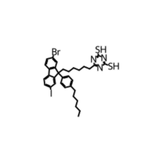 CCCCCCc1ccc(C2(CCCCCCc3nc(S)nc(S)n3)c3cc(Br)ccc3-c3ccc(I)cc32)cc1